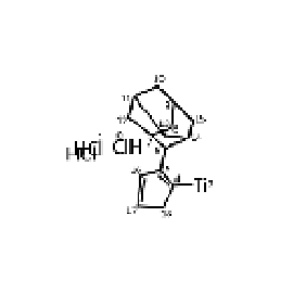 Cl.Cl.Cl.[Ti][C]1=C(C2C3CC4CC(C3)CC2C4)C=CC1